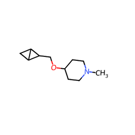 CN1CCC(OCC2C3CC23)CC1